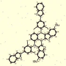 Cc1cc(-c2cc3ccccc3o2)cc(C)c1N1c2cccc3c2B(c2oc4ccc(C(C)(C)C)cc4c21)c1oc2ccc(C(C)(C)C)cc2c1N3c1c(C)cc(-c2cc3ccccc3o2)cc1C